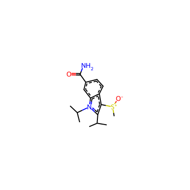 CC(C)c1c([S+](C)[O-])c2ccc(C(N)=O)cc2n1C(C)C